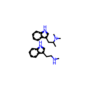 CC(Cc1c[nH]c2ccccc12)N(C)C.CNCCc1c[nH]c2ccccc12